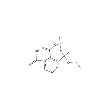 CCOC(C)(OCC)c1cccc(C(=O)O)c1C(=O)O